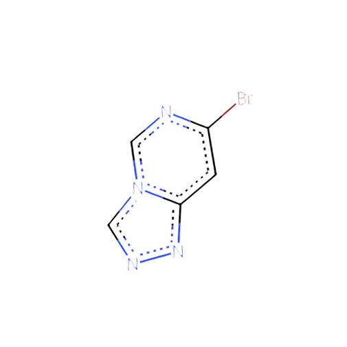 Brc1cc2nncn2cn1